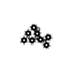 c1ccc(N(c2ccccc2)c2cccc(-n3c4ccc(N(c5ccccc5)c5ccccc5)cc4c4cc5oc6ccccc6c5cc43)c2)cc1